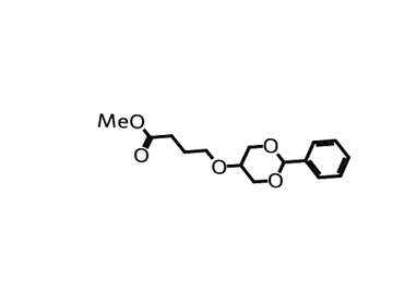 COC(=O)CCCOC1COC(c2ccccc2)OC1